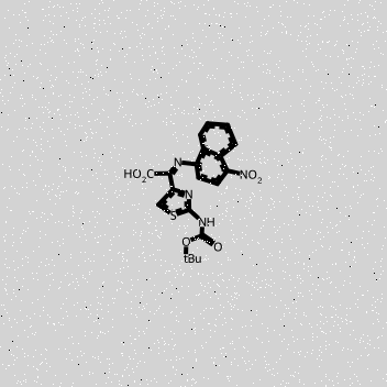 CC(C)(C)OC(=O)Nc1nc(C(=Nc2ccc([N+](=O)[O-])c3ccccc23)C(=O)O)cs1